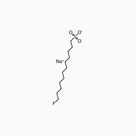 O=S(=O)([O-])CCCCCCCCCCCCF.[Na+]